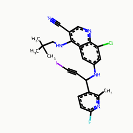 Cc1nc(F)ccc1C(C#CI)Nc1cc(Cl)c2ncc(C#N)c(NCC(C)(C)C)c2c1